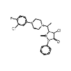 CC(C1C(Cl)C(=O)N(c2ccccc2)N1C)N1CCN(c2ccc(F)c(Cl)c2)CC1